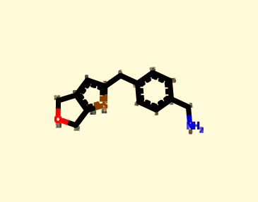 NCc1ccc(Cc2cc3c(s2)COC3)cc1